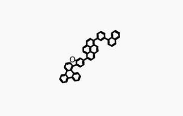 c1cc(-c2cccc3ccccc23)cc(-c2ccc3ccc4c(-c5ccc6c(c5)oc5ccc7c8ccccc8c8ccccc8c7c56)ccc5ccc2c3c54)c1